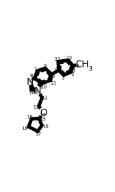 Cc1ccc(-c2ccc3ncn(CCOC4CCCC4)c3c2)cc1